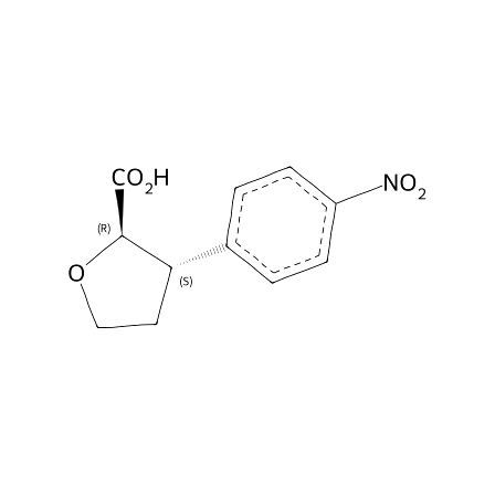 O=C(O)[C@@H]1OCC[C@H]1c1ccc([N+](=O)[O-])cc1